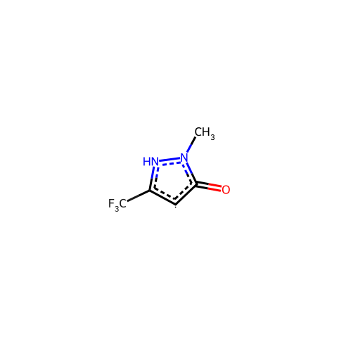 Cn1[nH]c(C(F)(F)F)[c]c1=O